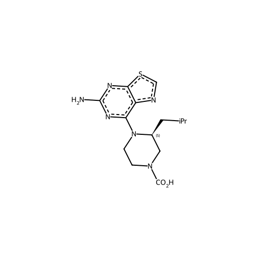 CC(C)C[C@H]1CN(C(=O)O)CCN1c1nc(N)nc2scnc12